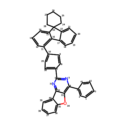 c1ccc(-c2nc(-c3ccc(-c4cccc5c4-c4ccccc4C54CCCCC4)cc3)nc3c2oc2ccccc23)cc1